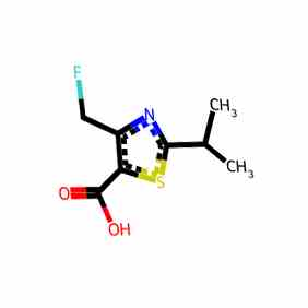 CC(C)c1nc(CF)c(C(=O)O)s1